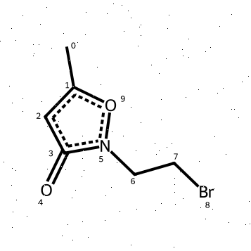 Cc1cc(=O)n(CCBr)o1